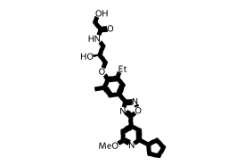 CCc1cc(-c2noc(-c3cc(OC)nc(C4CCCC4)c3)n2)cc(C)c1OC[C@@H](O)CNC(=O)CO